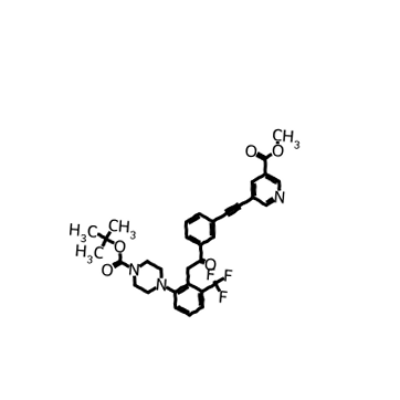 COC(=O)c1cncc(C#Cc2cccc(C(=O)Cc3c(N4CCN(C(=O)OC(C)(C)C)CC4)cccc3C(F)(F)F)c2)c1